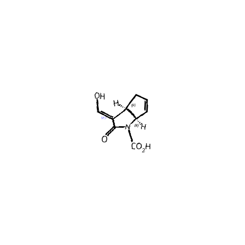 O=C(O)N1C(=O)/C(=C/O)[C@H]2CC=C[C@H]21